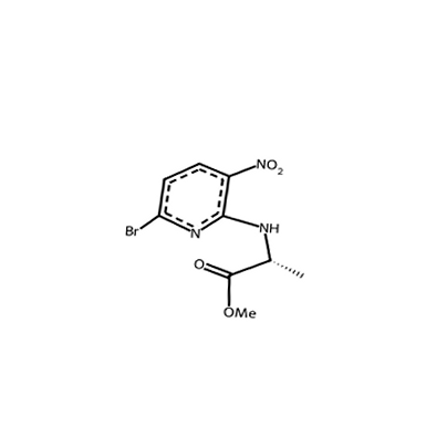 COC(=O)[C@@H](C)Nc1nc(Br)ccc1[N+](=O)[O-]